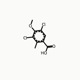 COc1c(Cl)cc(C(=O)O)c(C)c1Cl